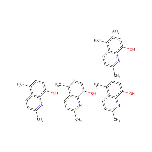 Cc1ccc2c(C(F)(F)F)ccc(O)c2n1.Cc1ccc2c(C(F)(F)F)ccc(O)c2n1.Cc1ccc2c(C(F)(F)F)ccc(O)c2n1.Cc1ccc2c(C(F)(F)F)ccc(O)c2n1.[AlH3]